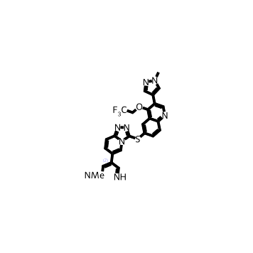 CN/C=C(\C=N)c1ccc2nnc(Sc3ccc4ncc(-c5cnn(C)c5)c(OCC(F)(F)F)c4c3)n2c1